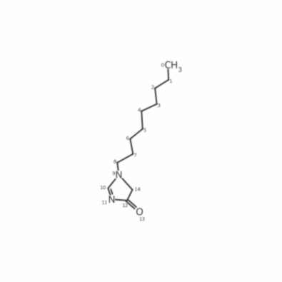 CCCCCCCCCN1C=NC(=O)C1